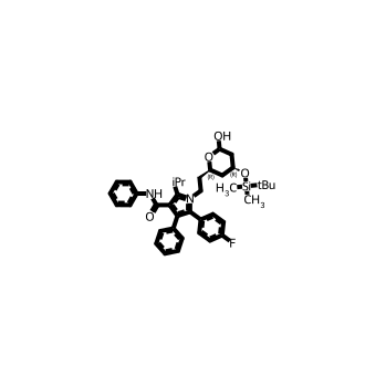 CC(C)c1c(C(=O)Nc2ccccc2)c(-c2ccccc2)c(-c2ccc(F)cc2)n1CC[C@@H]1C[C@@H](O[Si](C)(C)C(C)(C)C)CC(O)O1